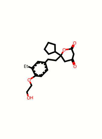 CCc1cc(CCC2(C3CCCC3)CC(=O)CC(=O)O2)ccc1OCCO